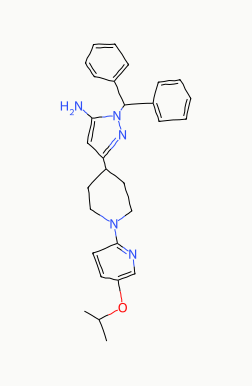 CC(C)Oc1ccc(N2CCC(c3cc(N)n(C(c4ccccc4)c4ccccc4)n3)CC2)nc1